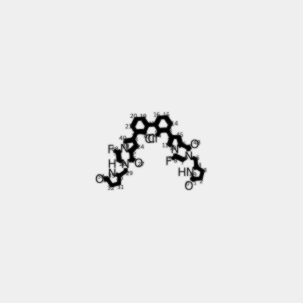 O=C1CCC(Cn2cc(F)n3cc(-c4cccc(-c5cccc(-c6cc7c(=O)n(CC8CCC(=O)N8)cc(F)n7c6)c5Cl)c4Cl)cc3c2=O)N1